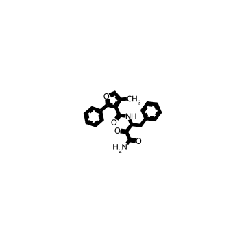 Cc1coc(-c2ccccc2)c1C(=O)NC(Cc1ccccc1)C(=O)C(N)=O